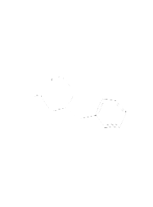 CCCCCCOP(OCCCCCC)Oc1ccccc1